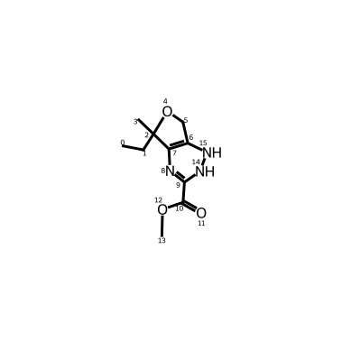 CCC1(C)OCC2=C1N=C(C(=O)OC)NN2